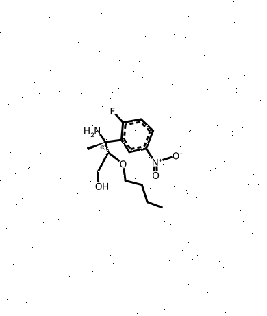 CCCCOC(CO)[C@](C)(N)c1cc([N+](=O)[O-])ccc1F